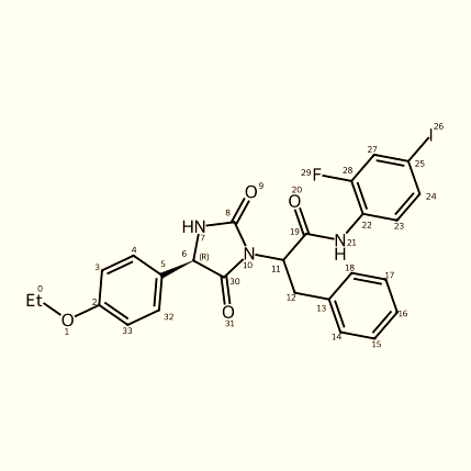 CCOc1ccc([C@H]2NC(=O)N(C(Cc3ccccc3)C(=O)Nc3ccc(I)cc3F)C2=O)cc1